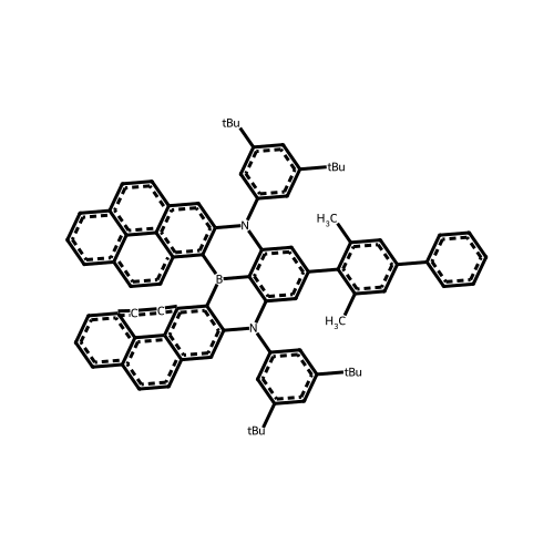 Cc1cc(-c2ccccc2)cc(C)c1-c1cc2c3c(c1)N(c1cc(C(C)(C)C)cc(C(C)(C)C)c1)c1cc4ccc5cccc6ccc(c1B3c1c(cc3ccc7cccc8ccc1c3c78)N2c1cc(C(C)(C)C)cc(C(C)(C)C)c1)c4c56